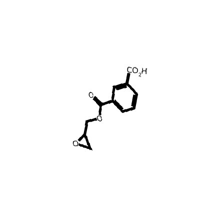 O=C(O)c1cccc(C(=O)OCC2CO2)c1